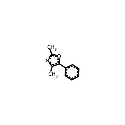 Cc1nc(C)c(-c2ccccc2)o1